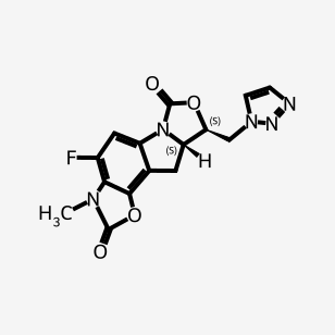 Cn1c(=O)oc2c3c(cc(F)c21)N1C(=O)O[C@@H](Cn2ccnn2)[C@@H]1C3